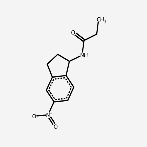 CCC(=O)NC1CCc2cc([N+](=O)[O-])ccc21